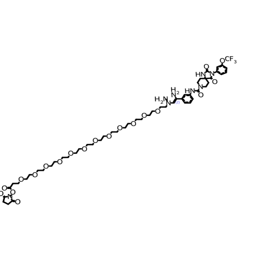 N/C(=C\N(N)CCOCCOCCOCCOCCOCCOCCOCCOCCOCCOCCOCCOCCC(=O)ON1C(=O)CCC1=O)c1cccc(NC(=O)N2CCC3(CC2)NC(=O)N(c2cccc(OC(F)(F)F)c2)C3=O)c1